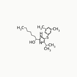 CCCCCCC(O)c1nc(C(C)C)c(Sc2cc(C)cc(C)c2)[nH]1